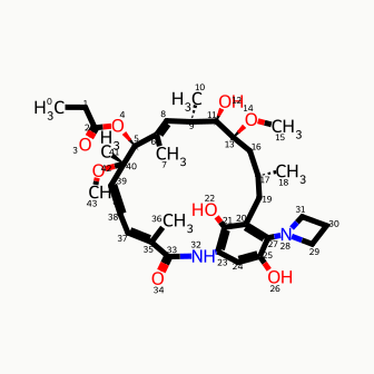 CCC(=O)O[C@H]1/C(C)=C/[C@H](C)[C@@H](O)[C@@H](OC)C[C@H](C)Cc2c(O)c(cc(O)c2N2CCC2)NC(=O)/C(C)=C/C=C\[C@]1(C)OC